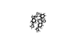 O=C1CCc2cc(N3CCC3)ccc21.O=Cc1c(Br)cccc1N1CCc2cc(N3CCC3)ccc2C1=O